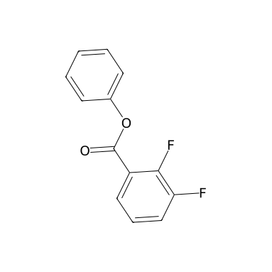 O=C(Oc1ccccc1)c1cccc(F)c1F